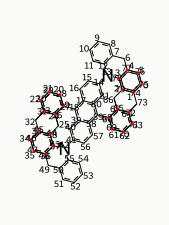 c1ccc2c(c1)Cc1ccccc1N2c1ccc2c(-c3cccc4c3C3c5ccccc5C4c4ccccc43)c3cc(N4c5ccccc5Cc5ccccc54)ccc3c(-c3cccc4c3C3c5ccccc5C4c4ccccc43)c2c1